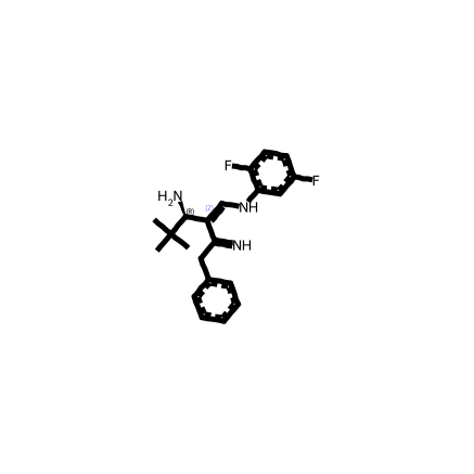 CC(C)(C)[C@@H](N)/C(=C/Nc1cc(F)ccc1F)C(=N)Cc1ccccc1